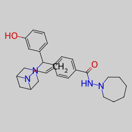 C=CCN1C2CC1CN(C(c1ccc(C(=O)NN3CCCCCC3)cc1)c1cccc(O)c1)C2